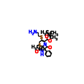 CC(=O)N[C@@]1(c2ccccc2)C(=O)N2C(C(=O)O[Si](C)(C)C)=C(SCCN)CS[C@H]21